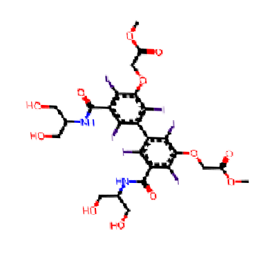 COC(=O)COc1c(I)c(C(=O)NC(CO)CO)c(I)c(-c2c(I)c(OCC(=O)OC)c(I)c(C(=O)NC(CO)CO)c2I)c1I